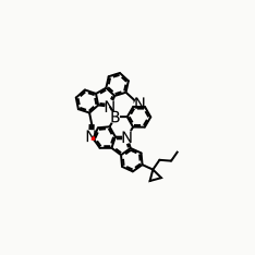 CCCC1(c2ccc3c4cccc5c4n(c3c2)-c2ccccc2B5n2c3c(C#N)cccc3c3cccc(C#N)c32)CC1